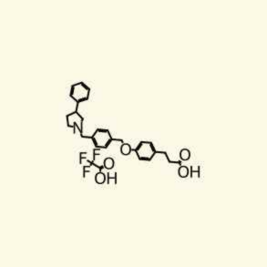 O=C(O)C(F)(F)F.O=C(O)CCc1ccc(OCc2ccc(CN3CCC(c4ccccc4)C3)cc2)cc1